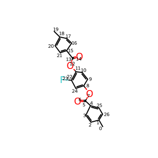 Cc1ccc(C(=O)Oc2ccc(OC(=O)c3ccc(C)cc3)c(F)c2)cc1